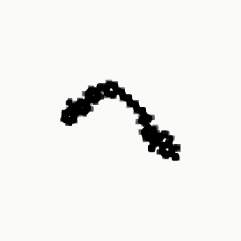 Cn1c2ccncc2c2ccc(-c3ccc(OC4CCN(CCOCCCOC5CN(c6ccc7c(c6)C(=O)N(C6CCC(=O)NC6=O)C7=O)C5)CC4)cc3)cc21